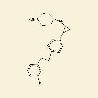 NC1CCC(N[C@H]2CC2c2ccc(CCc3cccc(F)c3)cc2)CC1